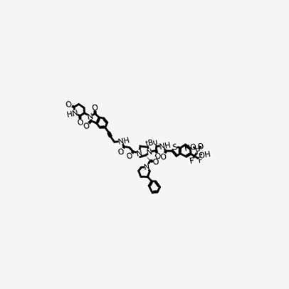 CC(C)(C)[C@H](NC(=O)c1cc2cc(C(F)(F)P(=O)(O)O)ccc2s1)C(=O)N1CCN(C(=O)CC(=O)NCC#Cc2ccc3c(c2)C(=O)N(C2CCC(=O)NC2=O)C3=O)C[C@H]1C(=O)N1CCCC(c2ccccc2)C1